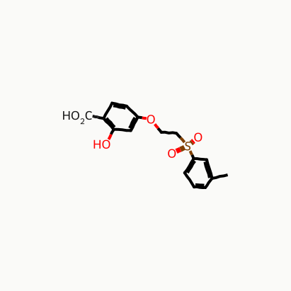 Cc1cccc(S(=O)(=O)CCOc2ccc(C(=O)O)c(O)c2)c1